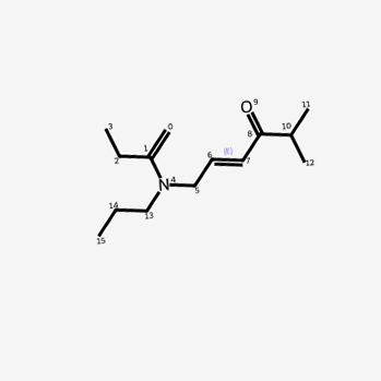 C=C(CC)N(C/C=C/C(=O)C(C)C)CCC